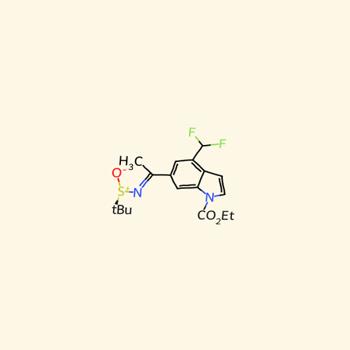 CCOC(=O)n1ccc2c(C(F)F)cc(C(C)=N[S@+]([O-])C(C)(C)C)cc21